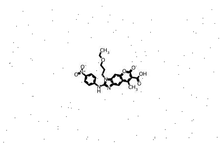 CCOCCCn1c(Nc2ccc([N+](=O)[O-])cc2)nc2cc3c(C)c(C(=O)O)c(=O)oc3cc21